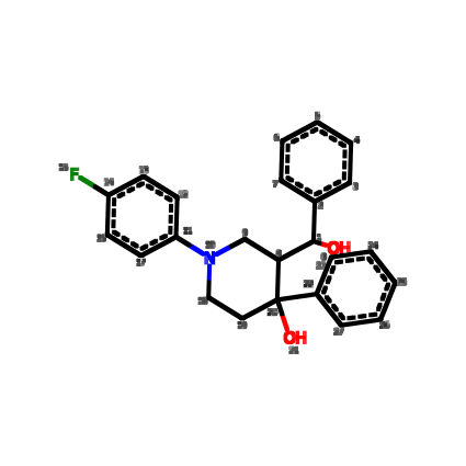 OC(c1ccccc1)C1CN(c2ccc(F)cc2)CCC1(O)c1ccccc1